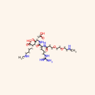 CNCCCC[C@@H](CC(=O)[C@H](CC(=O)O)NC(=O)C(CCCNC(=N)N)NC(=O)CCOCCOCCNC)C(=O)O